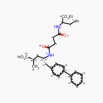 CCOC(=O)C(CC(C)C)NC(=O)CCC(=O)N[C@H](Cc1ccc(-c2ccccc2)cc1)C[C@@H](C)C(=O)O